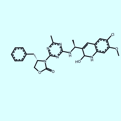 COc1cc2c(cc1Cl)C=C([C@H](C)Nc1nc(C)nc(N3C(=O)OC[C@@H]3Cc3ccccc3)n1)C(O)N2